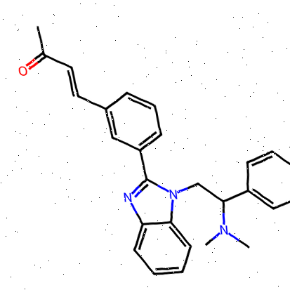 CC(=O)/C=C/c1cccc(-c2nc3ccccc3n2CC(c2ccccc2)N(C)C)c1